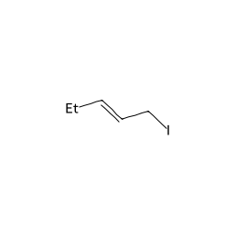 CCC=CCI